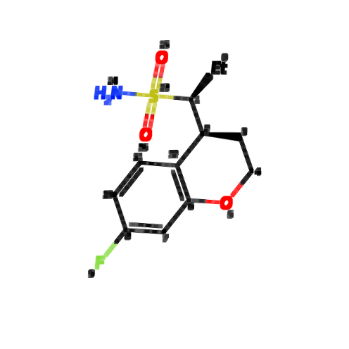 CC[C@@H]([C@H]1CCOc2cc(F)ccc21)S(N)(=O)=O